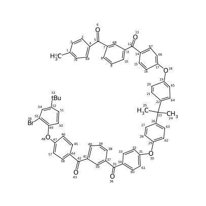 Cc1ccc(C(=O)c2cccc(C(=O)c3ccc(Oc4ccc(C(C)(C)c5ccc(Oc6ccc(C(=O)c7cccc(C(=O)c8ccc(Oc9ccc(C(C)(C)C)cc9Br)cc8)c7)cc6)cc5)cc4)cc3)c2)cc1